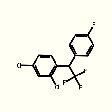 Fc1ccc(C(c2ccc(Cl)cc2Cl)C(F)(F)F)cc1